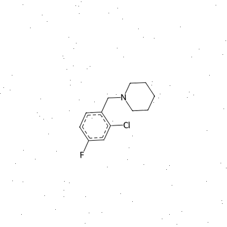 Fc1ccc(CN2CCCCC2)c(Cl)c1